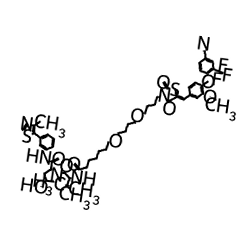 COc1cc(/C=C2\SC(=O)N(CCCCOCCCCOCCCCCCC(=O)N[C@H](C(=O)N3C[C@H](O)CC3C(=O)Nc3cccc(-c4scnc4C)c3)C(C)(C)C)C2=O)ccc1Oc1ccc(C#N)cc1C(F)(F)F